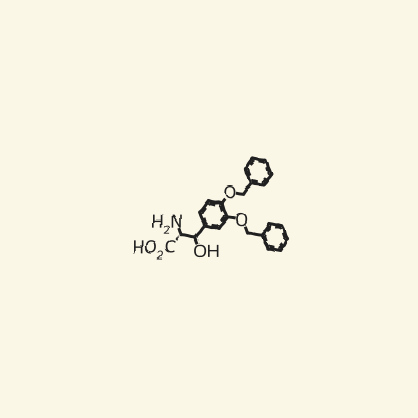 N[C@@H](C(=O)O)C(O)c1ccc(OCc2ccccc2)c(OCc2ccccc2)c1